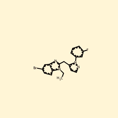 CCn1c(Cc2ccnn2-c2cccc(F)c2)nc2cc(Br)ccc21